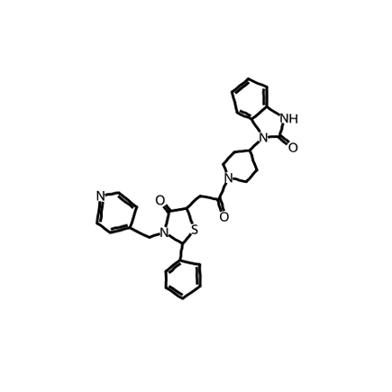 O=C(CC1SC(c2ccccc2)N(Cc2ccncc2)C1=O)N1CCC(n2c(=O)[nH]c3ccccc32)CC1